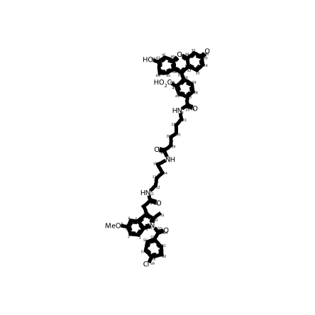 COc1ccc2c(c1)c(CC(=O)NCCCCNC(=O)CCCCCNC(=O)c1ccc(-c3c4ccc(=O)cc-4oc4cc(O)ccc34)c(C(=O)O)c1)c(C)n2C(=O)c1ccc(Cl)cc1